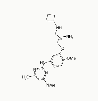 CNc1cc(C)nc(Nc2ccc(OC)c(OC[C@H](N)CNC3CCC3)c2)n1